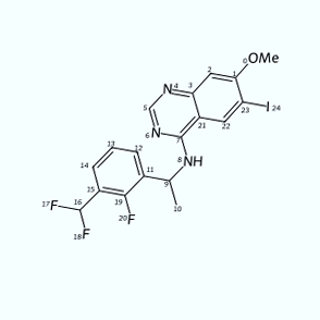 COc1cc2ncnc(NC(C)c3cccc(C(F)F)c3F)c2cc1I